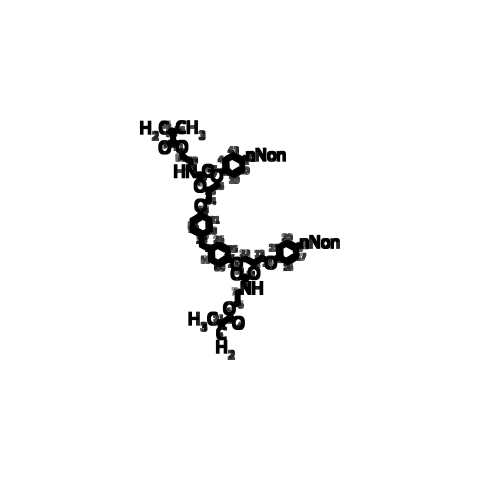 C=C(C)C(=O)OCCNC(=O)OC(COc1ccc(CCCCCCCCC)cc1)COc1ccc(Cc2ccc(OCC(COc3ccc(CCCCCCCCC)cc3)OC(=O)NCCOC(=O)C(=C)C)cc2)cc1